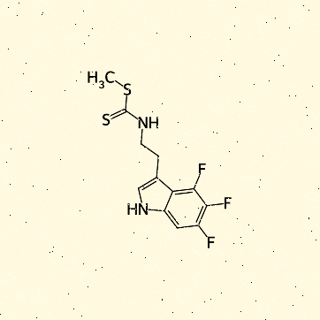 CSC(=S)NCCc1c[nH]c2cc(F)c(F)c(F)c12